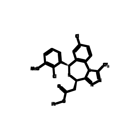 COc1cccc([C@H]2S[C@H](CC(=O)OC(C)C)c3nnc(C(F)(F)F)n3-c3ccc(Cl)cc32)c1Cl